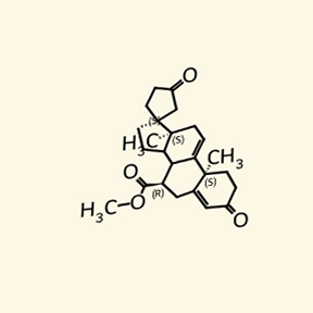 COC(=O)[C@@H]1CC2=CC(=O)CC[C@]2(C)C2=CC[C@@]3(C)C(CC[C@@]34CCC(=O)C4)C21